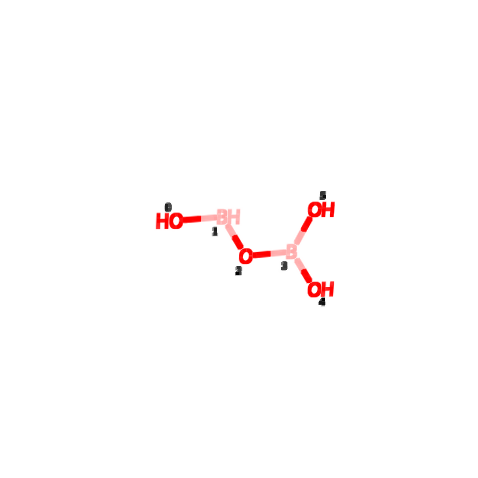 OBOB(O)O